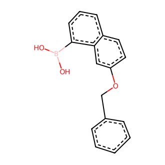 OB(O)c1cccc2ccc(OCc3ccccc3)cc12